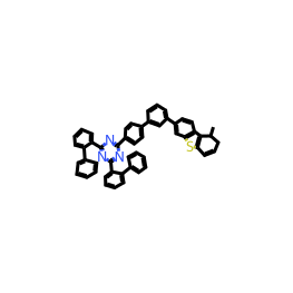 CC1CC=Cc2sc3cc(-c4cccc(-c5ccc(-c6nc(-c7ccccc7-c7ccccc7)nc(-c7ccccc7-c7ccccc7)n6)cc5)c4)ccc3c21